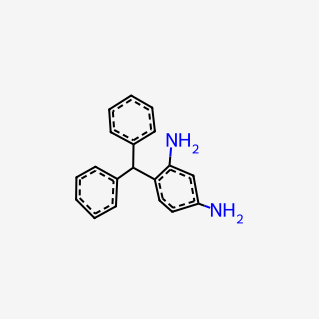 Nc1ccc(C(c2ccccc2)c2ccccc2)c(N)c1